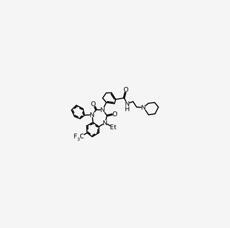 CCN1C(=O)N(C2=CC(C(=O)NCCN3CCCCC3)=CCC2)C(=O)N(c2ccccc2)c2cc(C(F)(F)F)ccc21